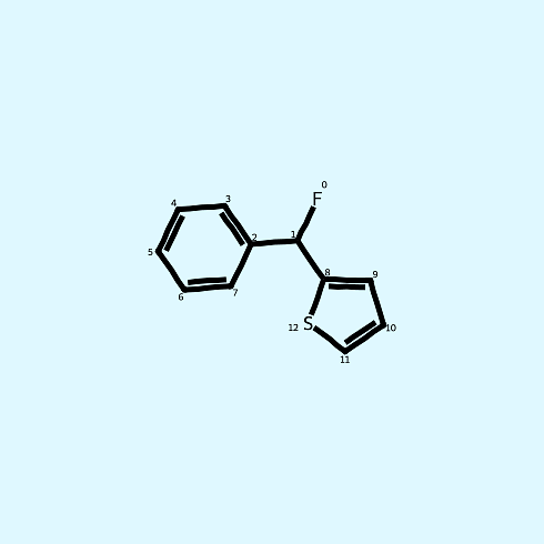 FC(c1ccccc1)c1cccs1